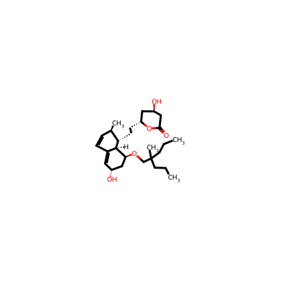 CCCC(C)(CCC)CO[C@H]1C[C@H](O)C=C2C=C[C@@H](C)[C@H](CC[C@@H]3C[C@@H](O)CC(=O)O3)[C@H]21